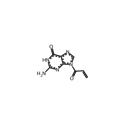 C=CC(=O)n1cnc2c(=O)[nH]c(N)nc21